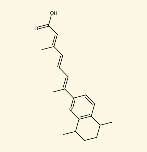 CC(/C=C/C=C(\C)c1ccc2c(n1)C(C)CCC2C)=C\C(=O)O